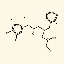 O=C(CN(Cc1ccccc1)C[C@@H](O)CCl)Nc1ccc(F)c(F)c1